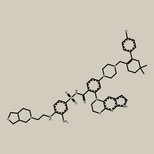 CC1(C)CCC(CN2CCN(c3ccc(C(=O)NS(=O)(=O)c4ccc(NCCN5CCC6COCC6C5)c([N+](=O)[O-])c4)c(N4CCOc5nc6[nH]ccc6cc54)c3)CC2)=C(c2ccc(Cl)cc2)C1